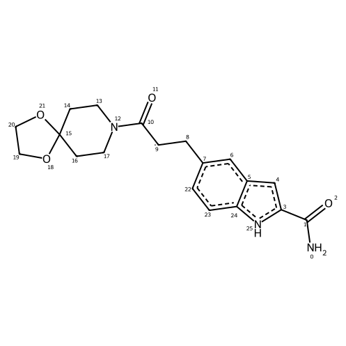 NC(=O)c1cc2cc(C[CH]C(=O)N3CCC4(CC3)OCCO4)ccc2[nH]1